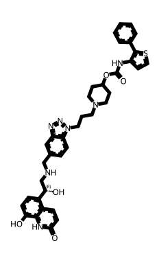 O=C(Nc1ccsc1-c1ccccc1)OC1CCN(CCCn2nnc3cc(CNC[C@H](O)c4ccc(O)c5[nH]c(=O)ccc45)ccc32)CC1